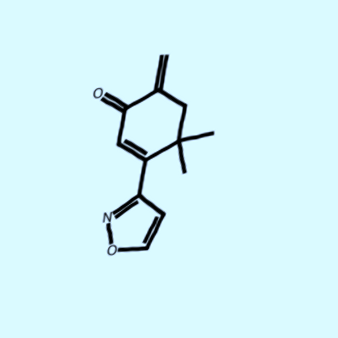 C=C1CC(C)(C)C(c2ccon2)=CC1=O